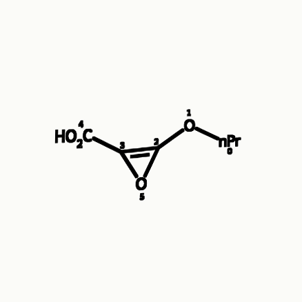 CCCOC1=C(C(=O)O)O1